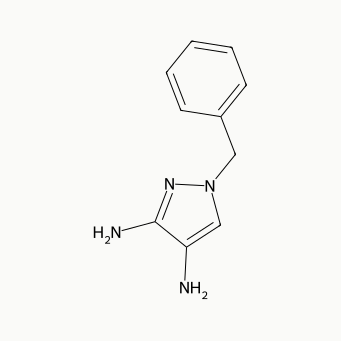 Nc1cn(Cc2ccccc2)nc1N